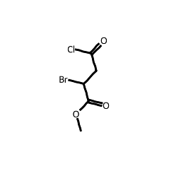 COC(=O)C(Br)CC(=O)Cl